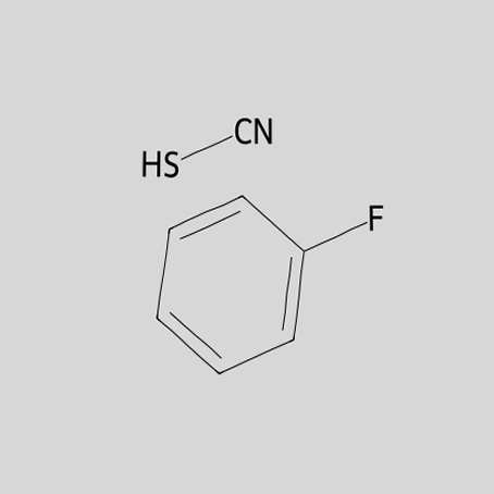 Fc1ccccc1.N#CS